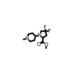 COC(=O)C1CC(F)(F)CN1C1CCN(C)CC1